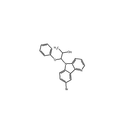 CC(O)C(Oc1ccccc1)n1c2ccc(Br)cc2c2ncccc21